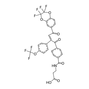 O=C(O)CCNC(=O)c1ccc(C(=O)C(=CC(=O)c2ccc3c(c2)OC(F)(F)C(F)(F)O3)c2ccc(OC(F)(F)F)cc2)cc1